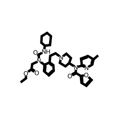 CCOC(=O)CN(C(=O)NC1CCCCC1)c1ccccc1CCN1CCC(N(C(=O)c2ccco2)c2ccc(C)cn2)CC1